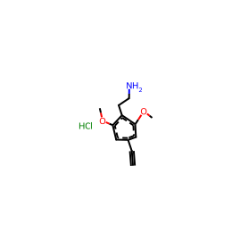 C#Cc1cc(OC)c(CCN)c(OC)c1.Cl